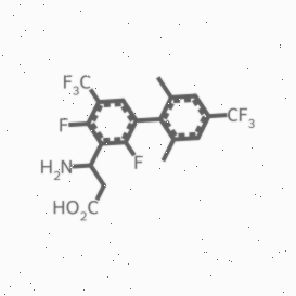 Cc1cc(C(F)(F)F)cc(C)c1-c1cc(C(F)(F)F)c(F)c(C(N)CC(=O)O)c1F